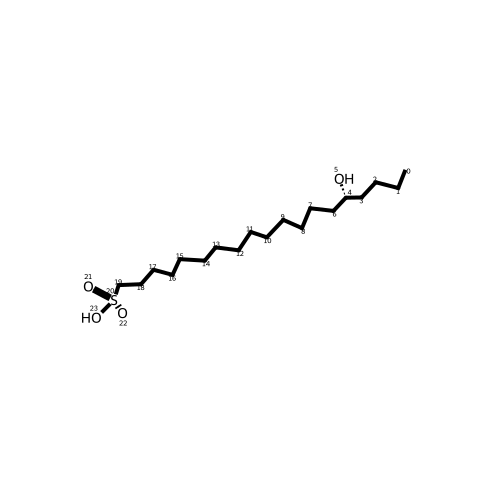 CCCC[C@@H](O)CCCCCCCCCCCCCCS(=O)(=O)O